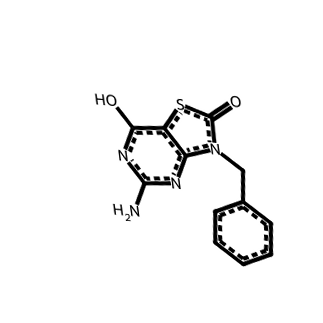 Nc1nc(O)c2sc(=O)n(Cc3ccccc3)c2n1